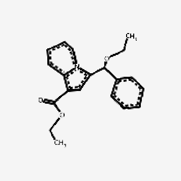 CCOC(=O)c1cc([C@@H](OCC)c2ccccc2)n2ccccc12